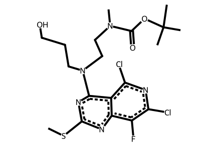 CSc1nc(N(CCCO)CCN(C)C(=O)OC(C)(C)C)c2c(Cl)nc(Cl)c(F)c2n1